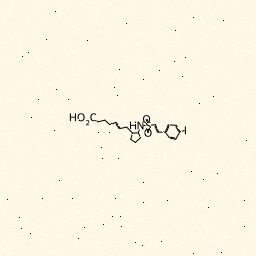 O=C(O)CCC/C=C/CC1CCCC1NS(=O)(=O)/C=C/c1ccc(I)cc1